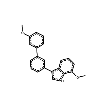 COc1cccc(-c2cncc(-c3c[nH]c4c(OC)cccc34)c2)c1